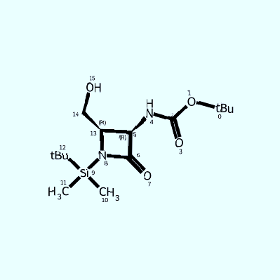 CC(C)(C)OC(=O)N[C@H]1C(=O)N([Si](C)(C)C(C)(C)C)[C@H]1CO